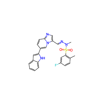 Cc1ccc(F)cc1S(=O)(=O)N(C)N=Cc1cnc2ccc(-c3cc4ccccc4[nH]3)cn12